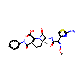 CO/N=C(\C(=O)N[C@@H]1C(=O)N2C(C(=O)O)=C(C(=O)Nc3ccccc3)CC[C@H]12)c1csc(N)n1